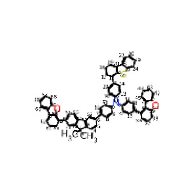 CC1(C)c2ccc(-c3ccc(N(c4ccc(-c5cccc6c5sc5ccccc56)cc4)c4ccc(-c5cccc6oc7ccccc7c56)cc4)cc3)cc2-c2ccc(-c3cccc4c3oc3ccccc34)cc21